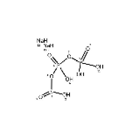 O=S(O)OP(=O)(O)OP(=O)(O)O.[NaH].[NaH]